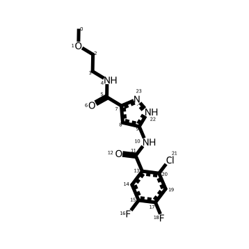 COCCNC(=O)c1cc(NC(=O)c2cc(F)c(F)cc2Cl)[nH]n1